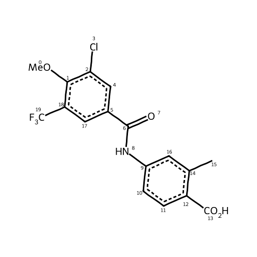 COc1c(Cl)cc(C(=O)Nc2ccc(C(=O)O)c(C)c2)cc1C(F)(F)F